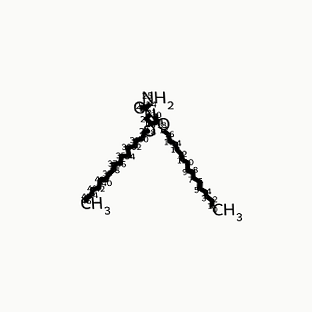 CCCCCC=CCC=CCCCCCCCCO[C@@H]1CN(C(=O)CN)C[C@H]1OCCCCCCCCC=CCC=CCCCCC